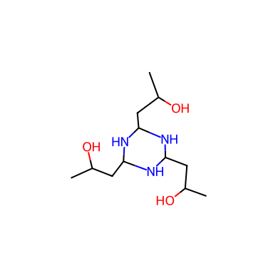 CC(O)CC1NC(CC(C)O)NC(CC(C)O)N1